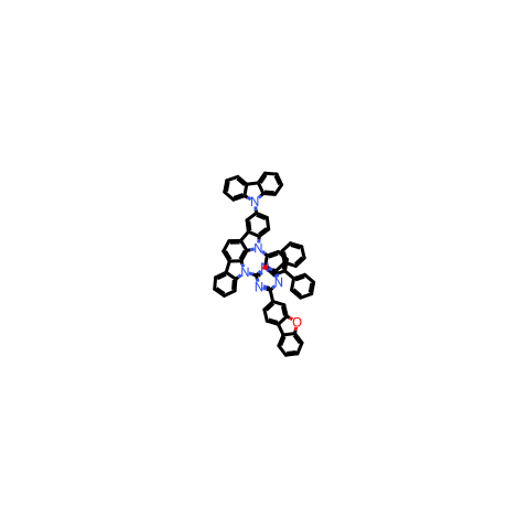 c1ccc(-c2ccc(-n3c4ccc(-n5c6ccccc6c6ccccc65)cc4c4ccc5c6ccccc6n(-c6nc(-c7ccccc7)nc(-c7ccc8c(c7)oc7ccccc78)n6)c5c43)cc2)cc1